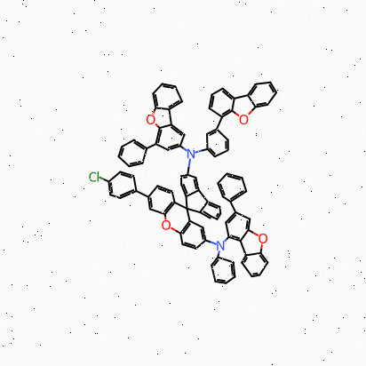 Clc1ccc(-c2ccc3c(c2)Oc2ccc(N(c4ccccc4)c4cc(-c5ccccc5)cc5oc6ccccc6c45)cc2C32c3ccccc3-c3cc(N(c4cccc(-c5cccc6c5oc5ccccc56)c4)c4cc(-c5ccccc5)c5oc6ccccc6c5c4)ccc32)cc1